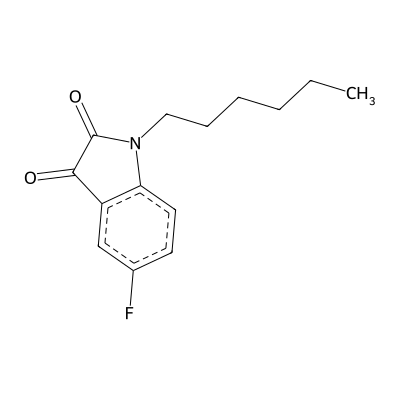 CCCCCCN1C(=O)C(=O)c2cc(F)ccc21